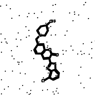 O=c1oc2cc(CN3CCC(O)CC3)ccc2cc1-c1nc2c(Cl)cccc2s1